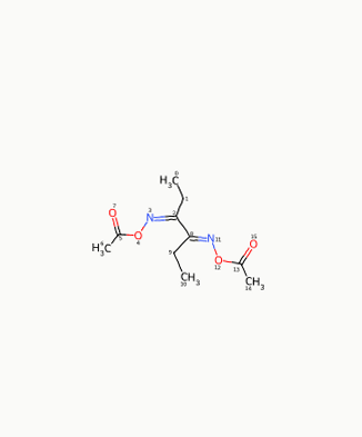 CCC(=NOC(C)=O)C(CC)=NOC(C)=O